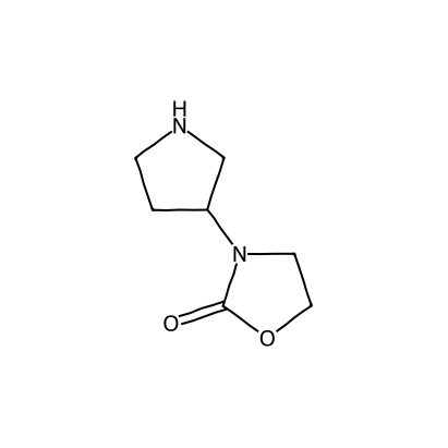 O=C1OCCN1C1CCNC1